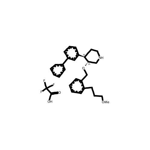 COCCCc1ccccc1CO[C@H]1CNCC[C@@H]1c1cccc(-c2ccccc2)c1.O=C(O)C(F)(F)F